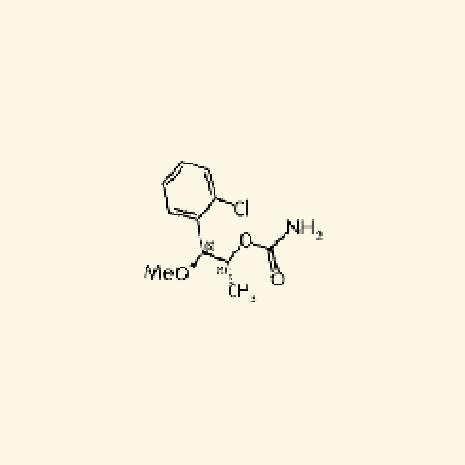 CO[C@@H](c1ccccc1Cl)[C@@H](C)OC(N)=O